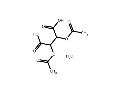 CC(=O)OC(C(=O)O)C(OC(C)=O)C(=O)O.O